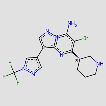 Nc1c(Br)c([C@@H]2CCCNC2)nc2c(-c3cnn(C(F)(F)F)c3)cnn12